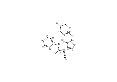 CC1CCN(Cc2ccc(C(=O)N(C)Cc3ccccc3)n2C)CC1